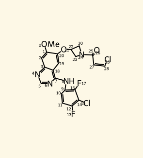 COc1cc2ncnc(Nc3ccc(F)c(Cl)c3F)c2cc1OC1CN(C(=O)/C=C\Cl)C1